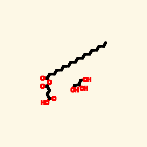 CCCCCCCCCCCCCCCCCC(=O)OC(=O)CCC(=O)O.OCC(O)CO